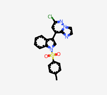 Cc1ccc(S(=O)(=O)n2cc(-c3cc(Cl)nn4ccnc34)c3ccccc32)cc1